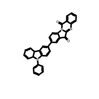 O=C1c2cc(-c3ccc4c(c3)C3C=CC=CC3N4c3ccccc3)ccc2-n2c1nc1ccccc1c2=O